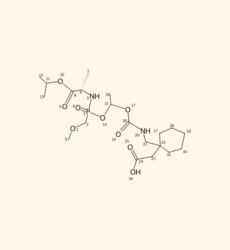 COCP(=O)(N[C@@H](C)C(=O)OC(C)C)OC(C)OC(=O)NCC1(CC(=O)O)CCCCC1